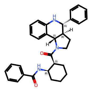 O=C(N[C@@H]1CCCC[C@@H]1C(=O)N1CC[C@@H]2[C@@H](c3ccccc3)Nc3ccccc3[C@H]21)c1ccccc1